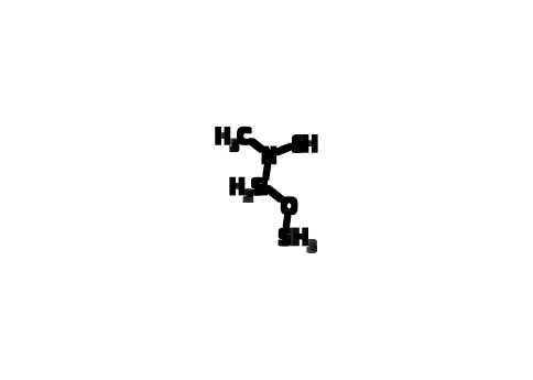 CN(S)[SiH2]O[SiH3]